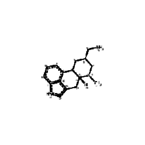 CN1C[C@H](CN)CC2c3cccc4[nH]cc(c34)C[C@H]21